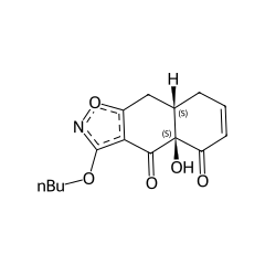 CCCCOc1noc2c1C(=O)[C@@]1(O)C(=O)C=CC[C@H]1C2